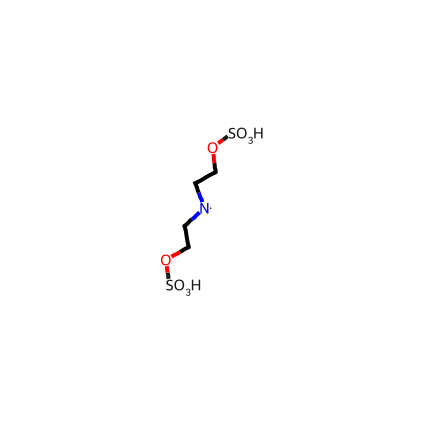 O=S(=O)(O)OCC[N]CCOS(=O)(=O)O